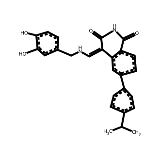 CC(C)c1ccc(-c2ccc3c(c2)C(=CNCc2ccc(O)c(O)c2)C(=O)NC3=O)cc1